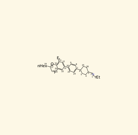 CC/C=C/C1CCC(c2ccc(-c3cc(F)c(OC(C)CCCCCC)c(F)c3)cc2)CC1